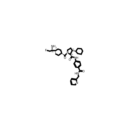 N[C@H](CF)[C@H]1CC[C@H](C(=O)N2CC[C@@H](C3CCCCC3)[C@H]2C(=O)Nc2ccc(C(=O)NCc3ccccn3)cc2)CC1